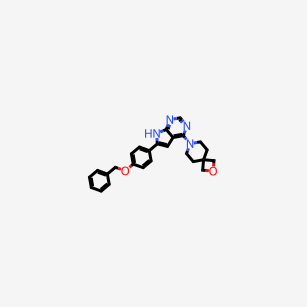 c1ccc(COc2ccc(-c3cc4c(N5CCC6(CC5)COC6)ncnc4[nH]3)cc2)cc1